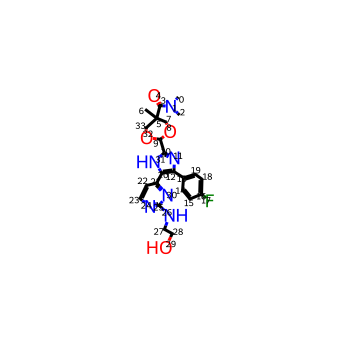 CN(C)C(=O)C1(C)COC(c2nc(-c3ccc(F)cc3)c(-c3ccnc(NCCO)n3)[nH]2)OC1